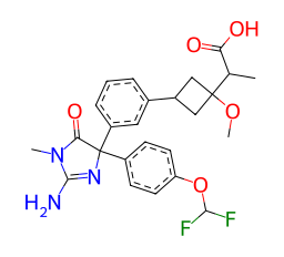 COC1(C(C)C(=O)O)CC(c2cccc(C3(c4ccc(OC(F)F)cc4)N=C(N)N(C)C3=O)c2)C1